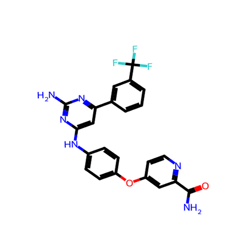 NC(=O)c1cc(Oc2ccc(Nc3cc(-c4cccc(C(F)(F)F)c4)nc(N)n3)cc2)ccn1